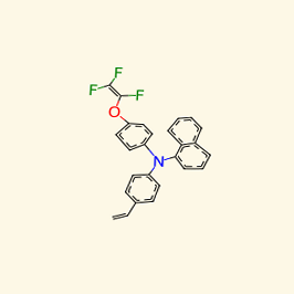 C=Cc1ccc(N(c2ccc(OC(F)=C(F)F)cc2)c2cccc3ccccc23)cc1